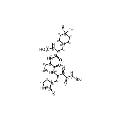 CCCCNC(=O)C(=O)C(C[C@@H]1CCNC1=O)NC(=O)C(CC(C)C)NC(=O)C(CN1CCC(F)(F)CC1)NC(=O)O